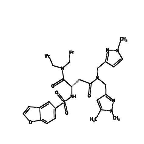 Cc1cc(CN(Cc2ccn(C)n2)C(=O)C[C@H](NS(=O)(=O)c2ccc3occc3c2)C(=O)N(CC(C)C)CC(C)C)nn1C